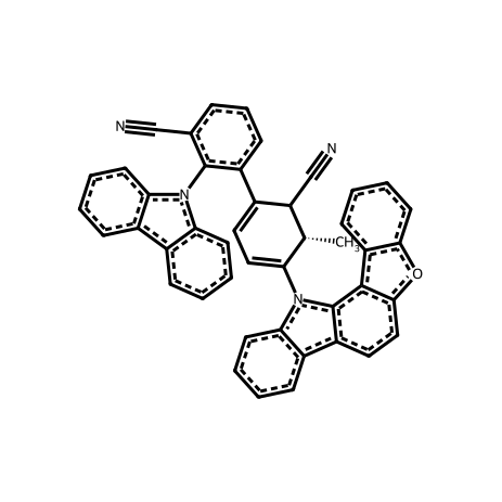 C[C@@H]1C(n2c3ccccc3c3ccc4oc5ccccc5c4c32)=CC=C(c2cccc(C#N)c2-n2c3ccccc3c3ccccc32)C1C#N